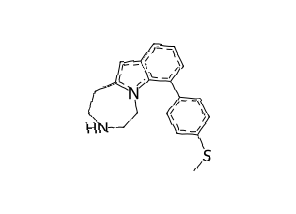 CSc1ccc(-c2cccc3cc4n(c23)CCNCC4)cc1